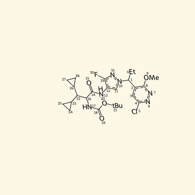 CCC(c1cc(Cl)nnc1OC)n1cc(NC(=O)C(NC(=O)OC(C)(C)C)C(C2CC2)C2CC2)c(F)n1